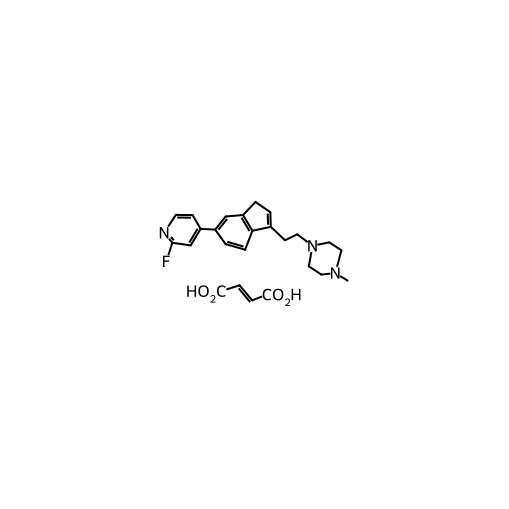 CN1CCN(CCC2=CCc3cc(-c4ccnc(F)c4)ccc32)CC1.O=C(O)C=CC(=O)O